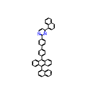 c1ccc2c(-c3ccnc(-c4ccc(-c5ccc(-c6c7ccccc7c(-c7cccc8ccccc78)c7ccccc67)cc5)cc4)n3)cccc2c1